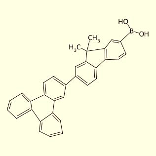 CC1(C)c2cc(B(O)O)ccc2-c2ccc(-c3ccc4c5ccccc5c5ccccc5c4c3)cc21